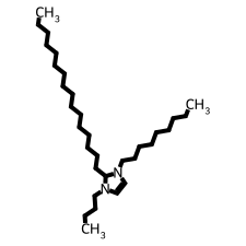 CCCCCCCCCCCCCCCCC1N(CCCC)C=CN1CCCCCCCCC